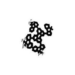 CC1(C)c2ccccc2-c2c(-c3cc4cc(-c5cccc6c5-c5ccccc5C6(C)C(F)(F)F)cc5c6cc(-c7cccc8c7-c7ccccc7C8(C(F)(F)F)C(F)(F)F)cc7cc(-c8cccc9c8-c8ccccc8C9(C)C(F)(F)F)cc(c(c3)c45)c76)cccc21